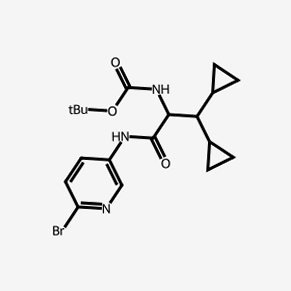 CC(C)(C)OC(=O)NC(C(=O)Nc1ccc(Br)nc1)C(C1CC1)C1CC1